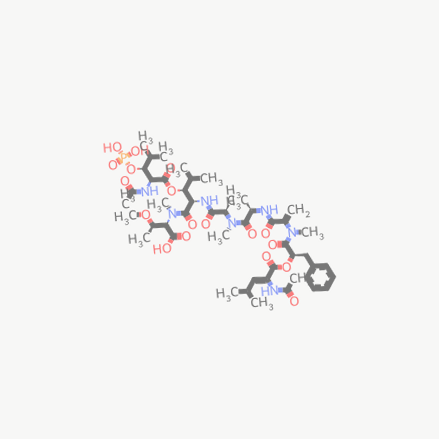 C=C(C(=O)N[C@@H](C)C(=O)N(C)[C@@H](C)C(=O)N[C@H](C(=O)N(C)[C@H](C(=O)O)[C@@H](C)OC)[C@H](OC(=O)[C@@H](NC(C)=O)[C@H](OP(=O)(O)O)C(C)C)C(C)C)N(C)C(=O)[C@@H](Cc1ccccc1)OC(=O)/C(=C/C(C)C)NC(C)=O